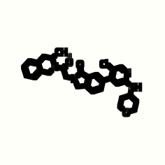 CC1Cc2ccccc2CN1C(=O)CN1Cc2ccc(-c3cc(NC4CCOCC4)ncc3Cl)cc2C1=O